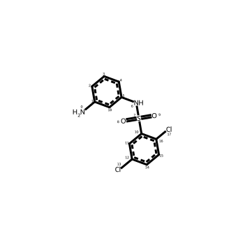 Nc1cccc(NS(=O)(=O)c2cc(Cl)ccc2Cl)c1